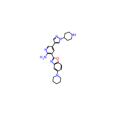 Nc1ncc(-c2cnn(C3CCNCC3)c2)cc1-c1nc2cc(N3CCCCC3)ccc2o1